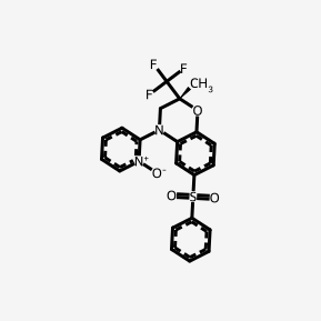 C[C@]1(C(F)(F)F)CN(c2cccc[n+]2[O-])c2cc(S(=O)(=O)c3ccccc3)ccc2O1